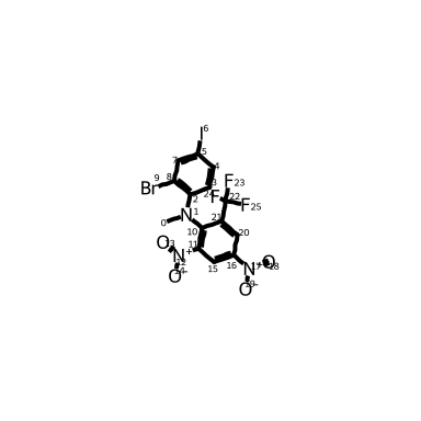 CN(c1ccc(I)cc1Br)c1c([N+](=O)[O-])cc([N+](=O)[O-])cc1C(F)(F)F